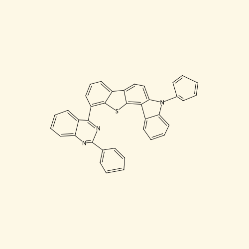 c1ccc(-c2nc(-c3cccc4c3sc3c4ccc4c3c3ccccc3n4-c3ccccc3)c3ccccc3n2)cc1